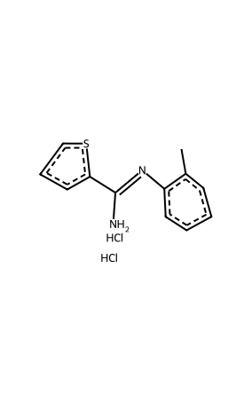 Cc1ccccc1N=C(N)c1cccs1.Cl.Cl